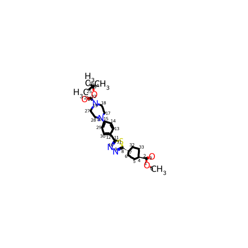 COC(=O)[C@H]1CC[C@H](c2nnc(-c3ccc(N4CCN(C(=O)OC(C)(C)C)CC4)cc3)s2)CC1